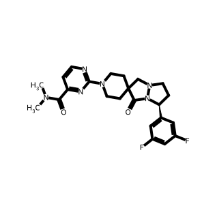 CN(C)C(=O)c1ccnc(N2CCC3(CC2)CN2CC[C@@H](c4cc(F)cc(F)c4)N2C3=O)n1